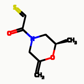 C=C1CN(C(=O)C=S)C[C@@H](C)O1